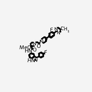 CO[C@@]1(C(=O)Nc2ccc3[nH]nc(-c4ccc(F)cc4)c3c2)CCN(CC(=O)N2CC=C(c3ccc(-c4ncc(C)cn4)c(F)c3)CC2)C1